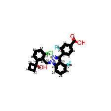 O=C(O)c1ccc(-c2nn(Cc3c(Cl)cccc3C3(O)CCC3)c3cccc(F)c23)c(F)c1